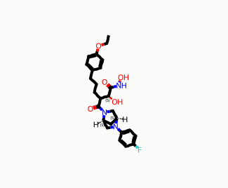 CCOc1ccc(CCCC(C(=O)N2C[C@@H]3C[C@H]2CN3c2ccc(F)cc2)[C@H](O)C(=O)NO)cc1